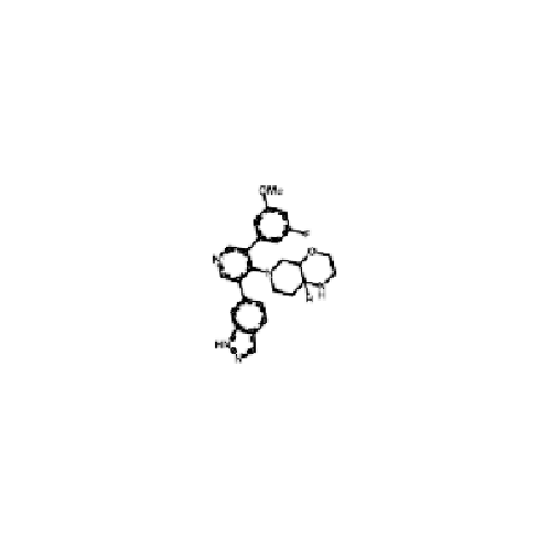 COc1cc(F)cc(-c2cncc(-c3ccc4cn[nH]c4c3)c2N2CC[C@H]3NCCOC3C2)c1